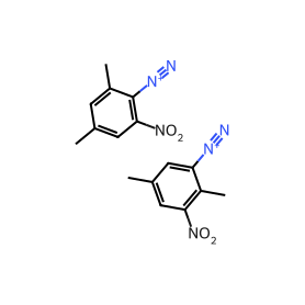 Cc1cc(C)c([N+]#N)c([N+](=O)[O-])c1.Cc1cc([N+]#N)c(C)c([N+](=O)[O-])c1